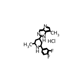 Cc1cnc2cnc(C3CC(C)NC(c4ccc(F)c(F)c4)C3)[nH]c1-2.Cl